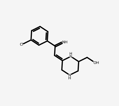 N=C(/C=C1/CNCC(CO)N1)c1cccc(Cl)c1